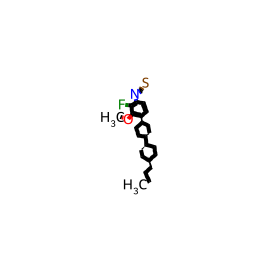 CCCC[C@H]1CC[C@H]([C@H]2CC[C@H](c3ccc(N=C=S)c(F)c3OC)CC2)CC1